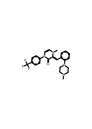 CN1CCN(c2ccccc2/C=C2/C(=O)N(c3ccc(C(F)(F)F)cc3)C=CN2C)CC1